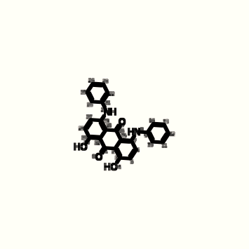 O=C1c2c(O)ccc(Nc3ccccc3)c2C(=O)c2c(Nc3ccccc3)ccc(O)c21